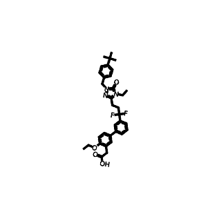 CCOc1ccc(-c2cccc(C(F)(F)CCc3nn(Cc4ccc(C(C)(C)C)cc4)c(=O)n3CC)c2)cc1CC(=O)O